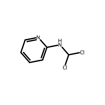 ClC(Cl)Nc1ccccn1